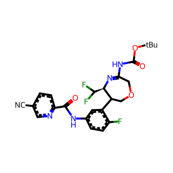 CC(C)(C)OC(=O)NC1=N[C@H](C(F)F)C(c2cc(NC(=O)c3ccc(C#N)cn3)ccc2F)COC1